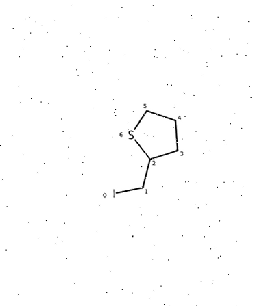 ICC1CCCS1